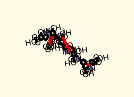 CCCCNc1ccc2c(O)c(/N=N/c3ccc4c(O)c(/N=N\c5cccc(S(=O)(=O)O)c5)c(S(=O)(=O)O)cc4c3)c(S(=O)(=O)O)cc2c1/N=N\c1cc2c(O)c(N=Nc3cc(C)c(/N=N\c4cc(S(=O)(=O)O)cc5cc(S(=O)(=O)O)cc(O)c45)cc3OCCCS(=O)(=O)O)c(S(=O)(=O)O)cc2cc1S(=O)(=O)O